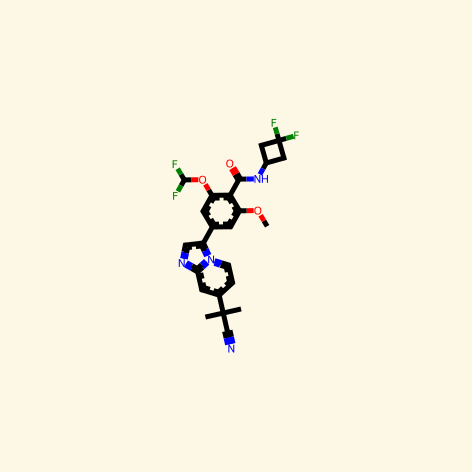 COc1cc(-c2cnc3cc(C(C)(C)C#N)ccn23)cc(OC(F)F)c1C(=O)NC1CC(F)(F)C1